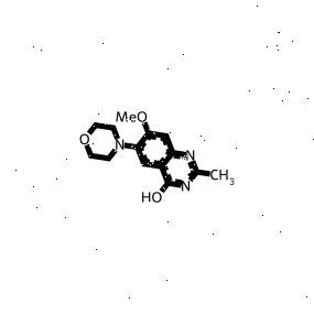 COc1cc2nc(C)nc(O)c2cc1N1CCOCC1